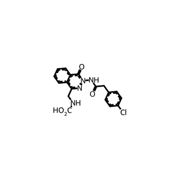 O=C(O)NCc1nn(NC(=O)Cc2ccc(Cl)cc2)c(=O)c2ccccc12